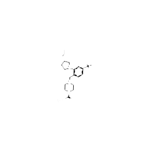 O=C(O)N1CCN(Cc2ccc(C(F)(F)F)cc2N2CC[C@H](CF)C2)CC1